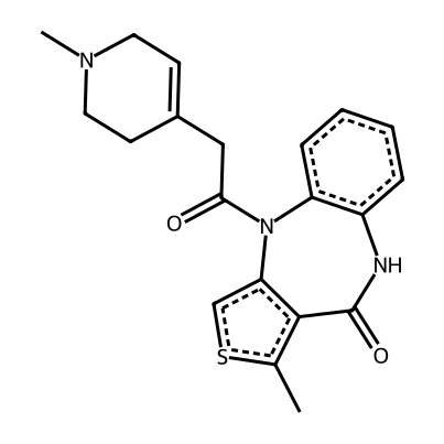 Cc1scc2c1C(=O)Nc1ccccc1N2C(=O)CC1=CCN(C)CC1